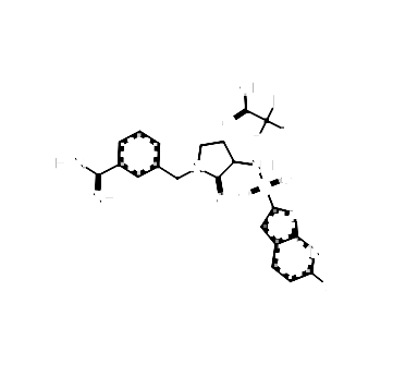 N=C(N)c1cccc(CN2CCC(NS(=O)(=O)c3cc4ccc(Cl)nc4s3)C2=O)c1.O=C(O)C(F)(F)F